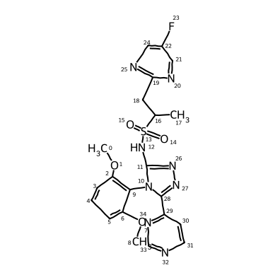 COc1cccc(OC)c1-n1c(NS(=O)(=O)C(C)Cc2ncc(F)cn2)nnc1-c1ccncn1